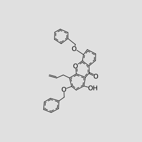 C=CCc1c(OCc2ccccc2)cc(O)c2c(=O)c3cccc(OCc4ccccc4)c3oc12